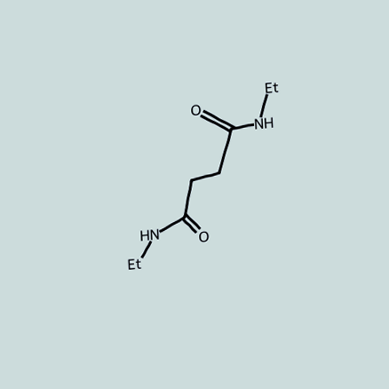 CCNC(=O)CCC(=O)NCC